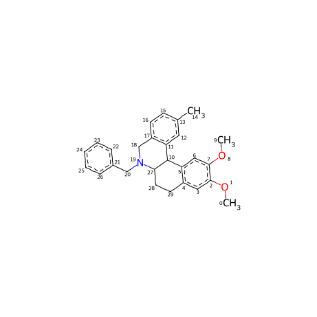 COc1cc2c(cc1OC)C1c3cc(C)ccc3CN(Cc3ccccc3)C1CC2